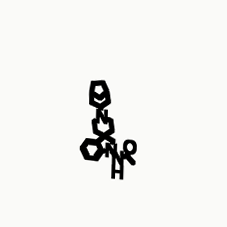 CC(=O)NN1CC2(CCN(C3CC4CCC(C4)C3)CC2)c2ccccc21